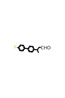 CC(CC=O)c1ccc(-c2ccc(F)cc2)cc1